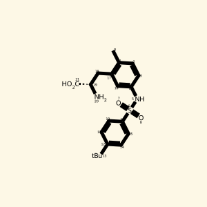 Cc1ccc(NS(=O)(=O)c2ccc(C(C)(C)C)cc2)cc1C[C@H](N)C(=O)O